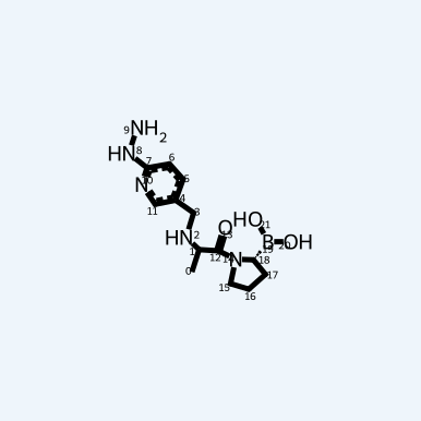 CC(NCc1ccc(NN)nc1)C(=O)N1CCC[C@H]1B(O)O